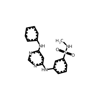 CNS(=O)(=O)c1cccc(Nc2cc(Nc3c[c]ccc3)ncn2)c1